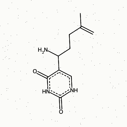 C=C(C)CCC(N)c1c[nH]c(=O)[nH]c1=O